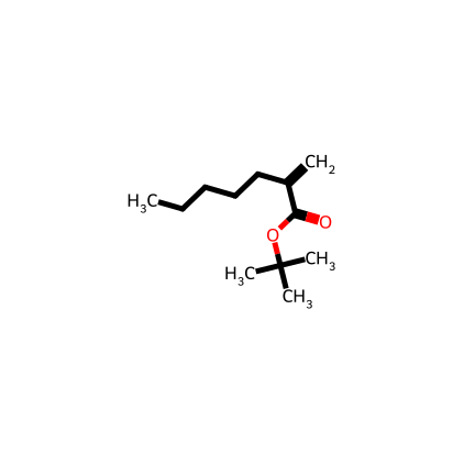 C=C(CCCCC)C(=O)OC(C)(C)C